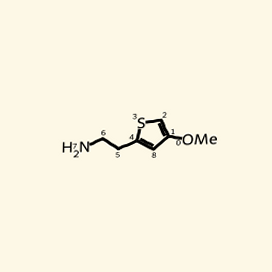 COc1csc(CCN)c1